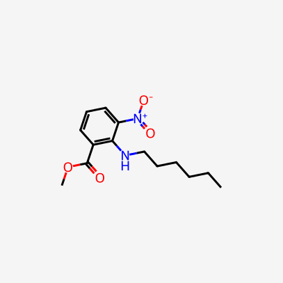 CCCCCCNc1c(C(=O)OC)cccc1[N+](=O)[O-]